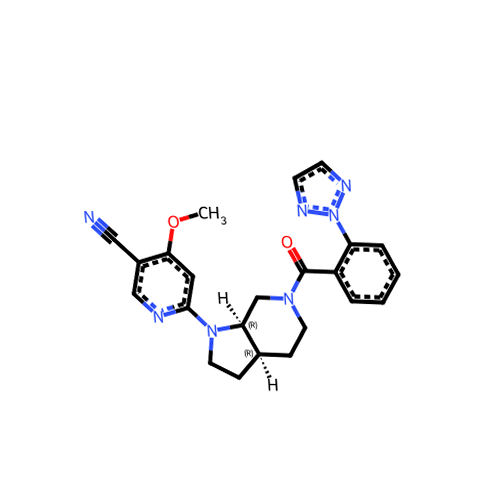 COc1cc(N2CC[C@@H]3CCN(C(=O)c4ccccc4-n4nccn4)C[C@@H]32)ncc1C#N